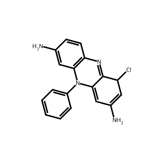 NC1=CC(Cl)C2=Nc3ccc(N)cc3N(c3ccccc3)C2=C1